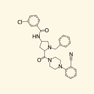 N#Cc1ccccc1N1CCN(C(=O)C2CC(NC(=O)c3cccc(Cl)c3)CN2Cc2ccccc2)CC1